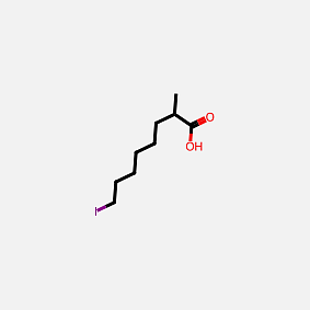 CC(CCCCCCI)C(=O)O